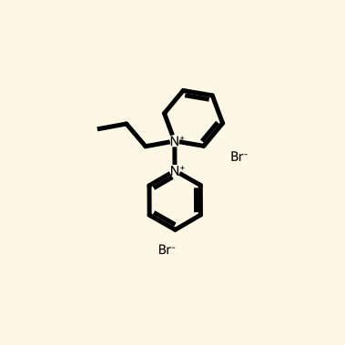 CCC[N+]1([n+]2ccccc2)C=CC=CC1.[Br-].[Br-]